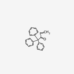 C=PC(=O)C(c1ccccc1)(c1ccccc1)c1ccccc1